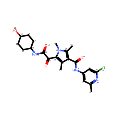 Cc1cc(NC(=O)c2c(C)c(C(=O)C(=O)NC3CCC(O)CC3)n(C)c2C)cc(Cl)n1